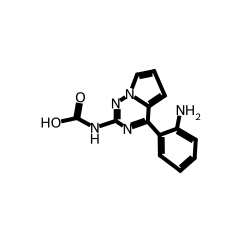 Nc1ccccc1-c1nc(NC(=O)O)nn2cccc12